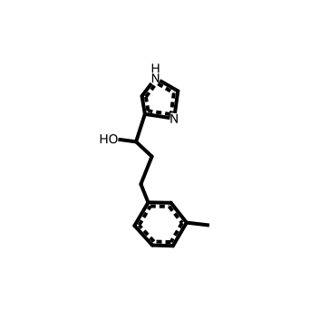 Cc1cccc(CCC(O)c2c[nH]cn2)c1